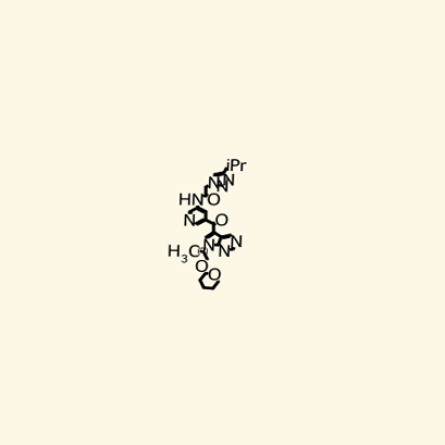 CC(C)c1cn(CC(=O)Nc2cncc(C(=O)c3cn([C@H](C)COC4CCCCO4)c4ncncc34)c2)nn1